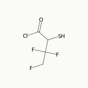 O=C(Cl)C(S)C(F)(F)CF